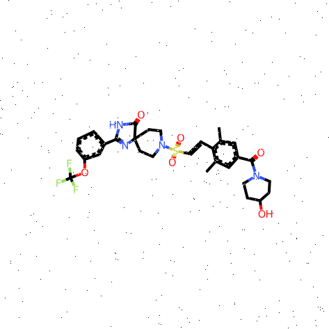 Cc1cc(C(=O)N2CCC(O)CC2)cc(C)c1C=CS(=O)(=O)N1CCC2(CC1)N=C(c1cccc(OC(F)(F)F)c1)NC2=O